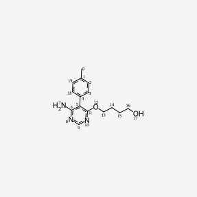 Cc1ccc(-c2c(N)ncnc2OCCCCO)cc1